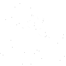 CCCSNc1ccc(-c2cc(NC(=O)C3CC3)nc3[nH]ccc23)c(C#N)c1